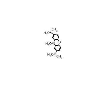 CB(C)c1ccc2c(c1)N(C)c1cc(B(C)C)ccc1O2